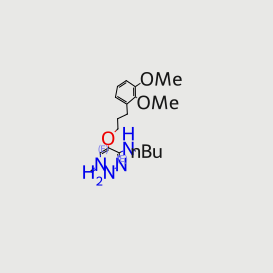 C=N/C=C(OCCCc1cccc(OC)c1OC)\C(=N/N)NCCCC